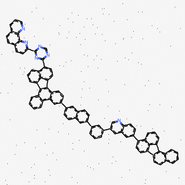 c1cc(-c2ccc3cc(-c4ccc5c6c(c7ccccc7c5c4)-c4cccc5c(-c7ncnc(-c8ccc9ccc%10cccnc%10c9n8)n7)ccc-6c45)ccc3c2)cc(-c2cnc3ccc(-c4ccc5c6c(cccc46)-c4c-5ccc5ccccc45)cc3c2)c1